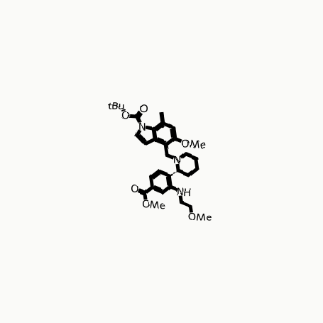 COCCNc1cc(C(=O)OC)ccc1[C@H]1CCCCN1Cc1c(OC)cc(C)c2c1ccn2C(=O)OC(C)(C)C